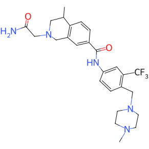 CC1CN(CC(N)=O)Cc2cc(C(=O)Nc3ccc(CN4CCN(C)CC4)c(C(F)(F)F)c3)ccc21